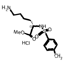 COC(=O)[C@H](CCCCN)NS(=O)(=O)c1ccc(C)cc1.Cl